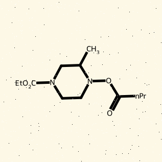 CCCC(=O)ON1CCN(C(=O)OCC)CC1C